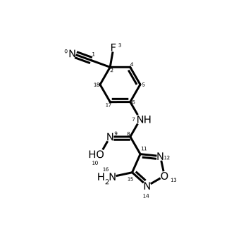 N#CC1(F)C=CC(NC(=NO)c2nonc2N)=CC1